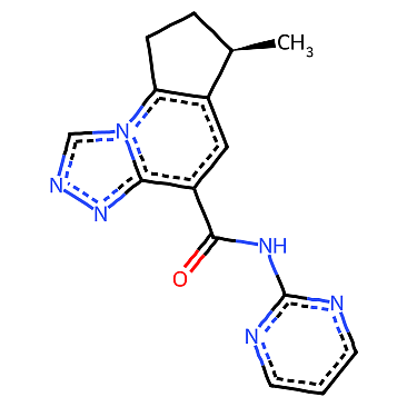 C[C@@H]1CCc2c1cc(C(=O)Nc1ncccn1)c1nncn21